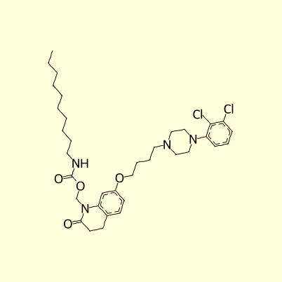 CCCCCCCCCCNC(=O)OCN1C(=O)CCc2ccc(OCCCCN3CCN(c4cccc(Cl)c4Cl)CC3)cc21